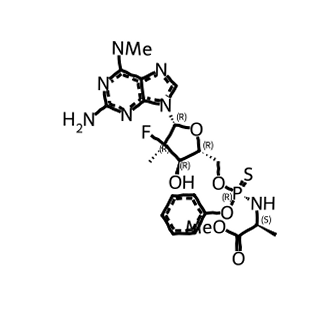 CNc1nc(N)nc2c1ncn2[C@@H]1O[C@H](CO[P@](=S)(N[C@@H](C)C(=O)OC)Oc2ccccc2)[C@@H](O)[C@@]1(C)F